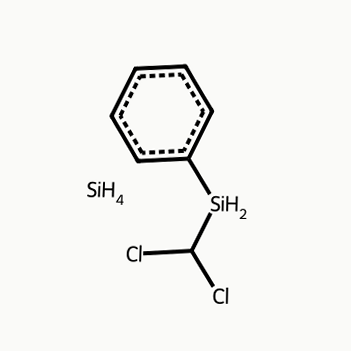 ClC(Cl)[SiH2]c1ccccc1.[SiH4]